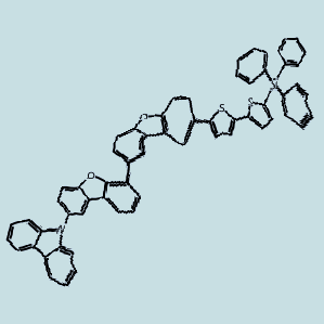 c1ccc([Si](c2ccccc2)(c2ccccc2)c2ccc(-c3ccc(-c4ccc5oc6ccc(-c7cccc8c7oc7ccc(-n9c%10ccccc%10c%10ccccc%109)cc78)cc6c5c4)s3)s2)cc1